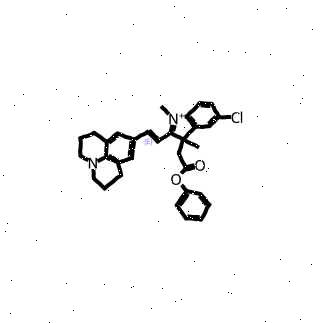 C[N+]1=C(/C=C/c2cc3c4c(c2)CCCN4CCC3)C(C)(CC(=O)Oc2ccccc2)c2cc(Cl)ccc21